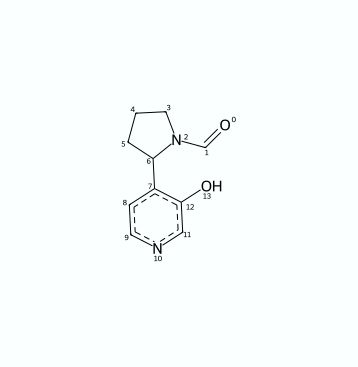 O=CN1CCCC1c1ccncc1O